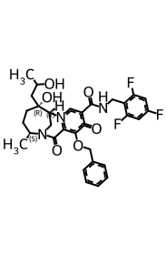 CC(O)C[C@]1(O)CC[C@H](C)N2C[C@H]1n1cc(C(=O)NCc3c(F)cc(F)cc3F)c(=O)c(OCc3ccccc3)c1C2=O